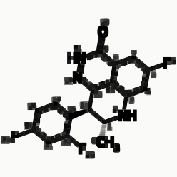 C[C@H]1Nc2cc(F)cc3c(=O)[nH]nc(c23)[C@@H]1c1ccc(F)cc1F